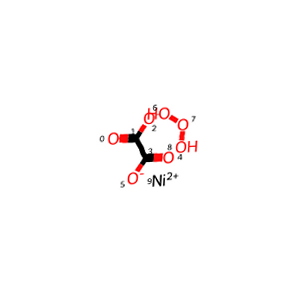 O=C([O-])C(=O)[O-].OOO.[Ni+2]